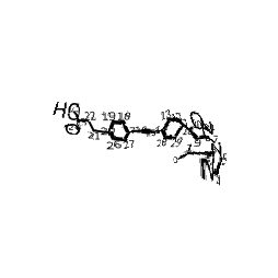 CCc1nccn1Cc1cc(-c2ccc(C#Cc3ccc(CCC(=O)O)cc3)cc2)on1